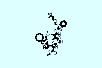 CCOC(=O)c1nc(Nc2nnc(/N=c3\sc4ccccc4n3COCC[Si](C)(C)C)c(C)c2C)sc1-c1cnn(CC2(CCCOC)CCCCCCC2)c1C